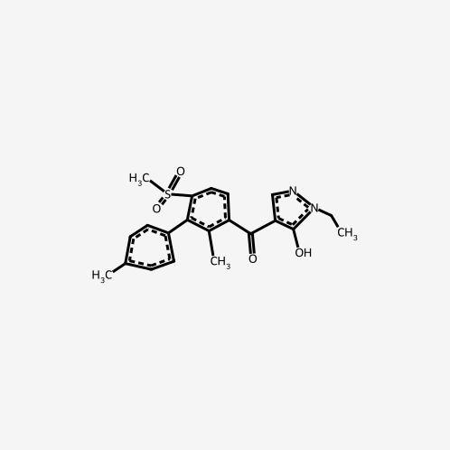 CCn1ncc(C(=O)c2ccc(S(C)(=O)=O)c(-c3ccc(C)cc3)c2C)c1O